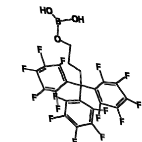 OB(O)OCCCC(c1c(F)c(F)c(F)c(F)c1F)(c1c(F)c(F)c(F)c(F)c1F)c1c(F)c(F)c(F)c(F)c1F